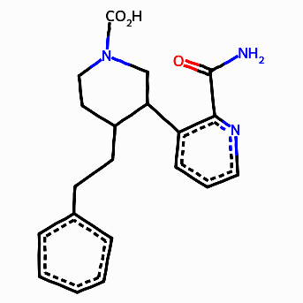 NC(=O)c1ncccc1C1CN(C(=O)O)CCC1CCc1ccccc1